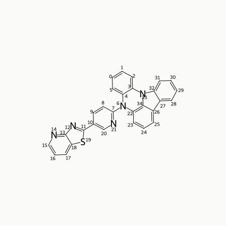 c1ccc2c(c1)N(c1ccc(-c3nc4ncccc4s3)cn1)c1cccc3c4ccccc4n-2c13